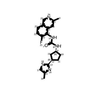 Cc1cc2c(NC(=O)N[C@@H]3CC[C@@H](c4nc(C)cs4)C3)c(F)ccc2cn1